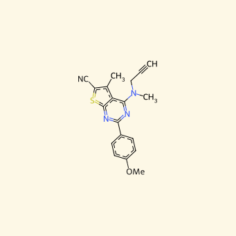 C#CCN(C)c1nc(-c2ccc(OC)cc2)nc2sc(C#N)c(C)c12